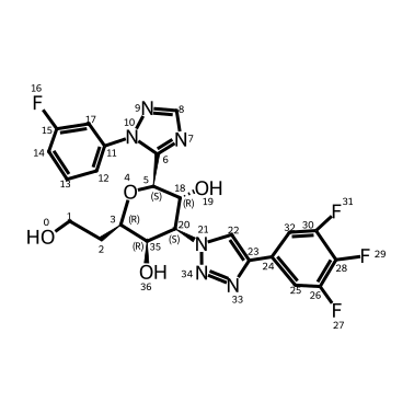 OCC[C@H]1O[C@@H](c2ncnn2-c2cccc(F)c2)[C@H](O)[C@@H](n2cc(-c3cc(F)c(F)c(F)c3)nn2)[C@H]1O